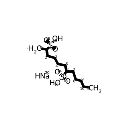 [CH2]C(CCCCC(CCCCC)S(=O)(=O)O)S(=O)(=O)O.[NaH]